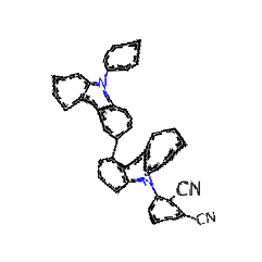 N#Cc1cccc(-n2c3ccccc3c3c(-c4ccc5c(c4)c4ccccc4n5-c4ccccc4)cccc32)c1C#N